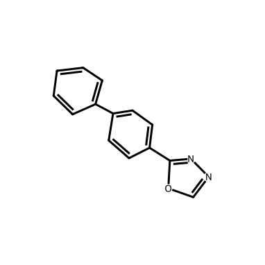 c1ccc(-c2ccc(-c3nnco3)cc2)cc1